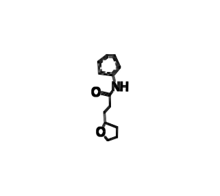 O=C(CCC1CCCO1)Nc1ccccc1